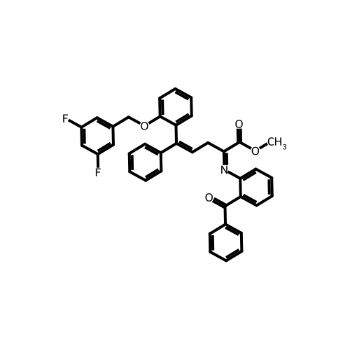 COC(=O)C(CC=C(c1ccccc1)c1ccccc1OCc1cc(F)cc(F)c1)=Nc1ccccc1C(=O)c1ccccc1